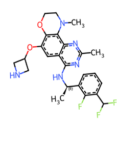 Cc1nc(N[C@H](C)c2cccc(C(F)F)c2F)c2cc(OC3CNC3)c3c(c2n1)N(C)CCO3